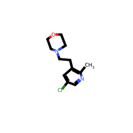 Cc1ncc(Cl)cc1CCN1CCOCC1